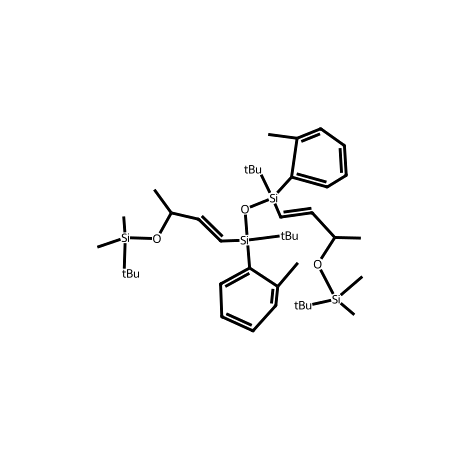 Cc1ccccc1[Si](C=CC(C)O[Si](C)(C)C(C)(C)C)(O[Si](C=CC(C)O[Si](C)(C)C(C)(C)C)(c1ccccc1C)C(C)(C)C)C(C)(C)C